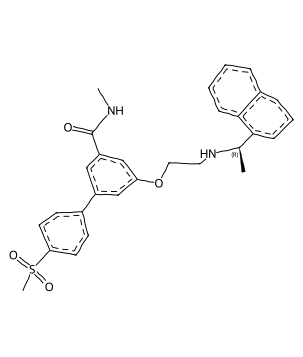 CNC(=O)c1cc(OCCN[C@H](C)c2cccc3ccccc23)cc(-c2ccc(S(C)(=O)=O)cc2)c1